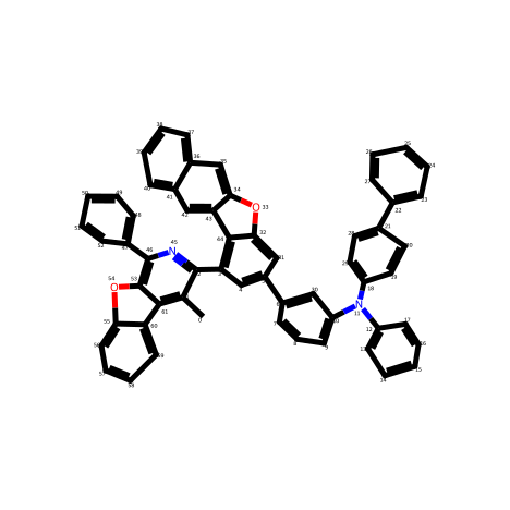 Cc1c(-c2cc(-c3cccc(N(c4ccccc4)c4ccc(-c5ccccc5)cc4)c3)cc3oc4cc5ccccc5cc4c23)nc(-c2ccccc2)c2oc3ccccc3c12